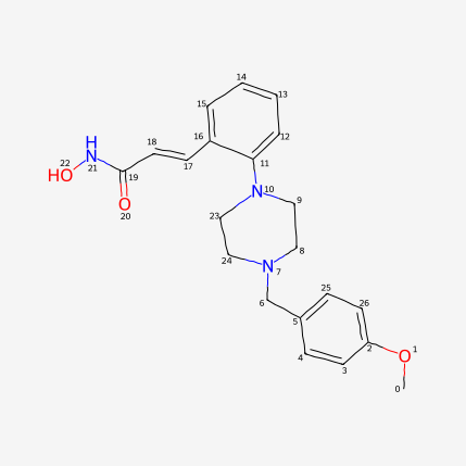 COc1ccc(CN2CCN(c3ccccc3C=CC(=O)NO)CC2)cc1